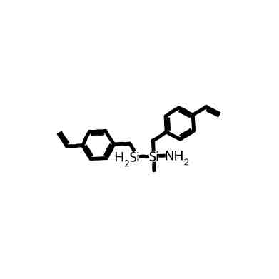 C=Cc1ccc(C[SiH2][Si](C)(N)Cc2ccc(C=C)cc2)cc1